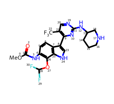 COC(=O)Nc1ccc2c(-c3nc(NC4CCCNC4)ncc3C(F)(F)F)c[nH]c2c1OC(F)F